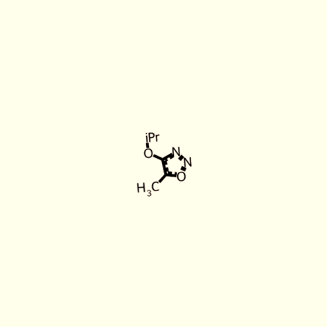 Cc1onnc1OC(C)C